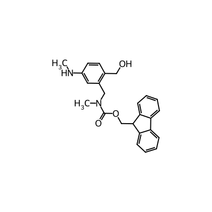 CNc1ccc(CO)c(CN(C)C(=O)OCC2c3ccccc3-c3ccccc32)c1